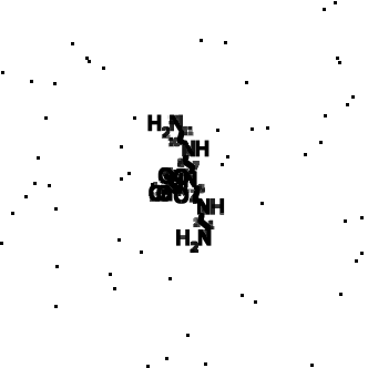 NCCNCCNCCNCCN.[Cu+4].[O-][Si]([O-])([O-])[O-]